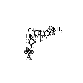 NS(=O)(=O)c1ccc(Nc2ncc(Cl)c(Nc3ccc(CNS(=O)(=O)C4CC4)cc3)n2)cc1